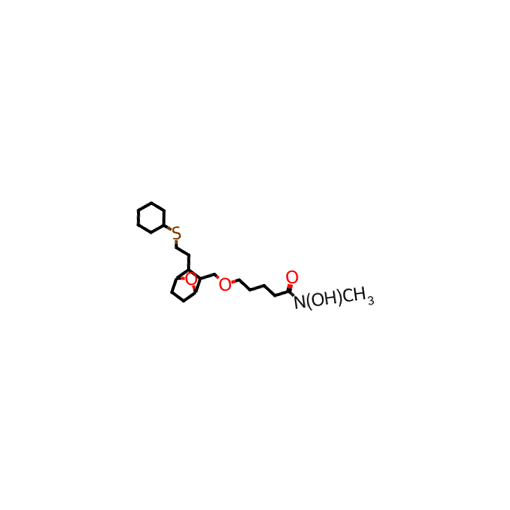 CN(O)C(=O)CCCCOCC1C2CCC(O2)C1CCSC1CCCCC1